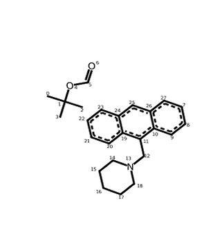 CC(C)(C)OC=O.c1ccc2c(CN3CCCCC3)c3ccccc3cc2c1